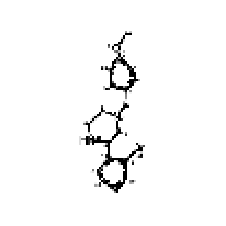 COc1ccc(CN2CCNC(c3ccccc3Br)C2)cc1